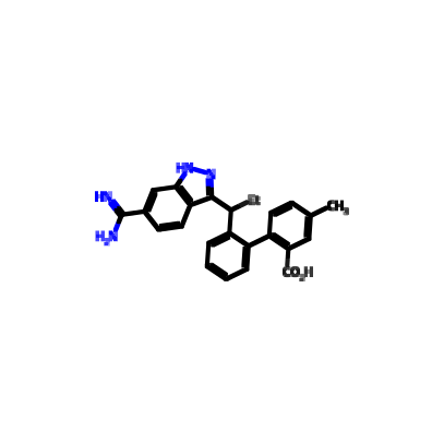 CCC(c1ccccc1-c1ccc(C)cc1C(=O)O)c1n[nH]c2cc(C(=N)N)ccc12